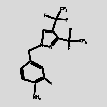 Nc1ccc(Cn2cc(C(F)(F)C(F)(F)F)c(C(F)(F)C(F)(F)F)n2)cc1I